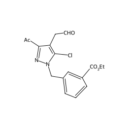 CCOC(=O)c1cccc(Cn2nc(C(C)=O)c(CC=O)c2Cl)c1